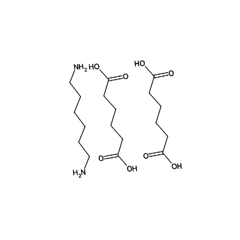 NCCCCCCN.O=C(O)CCCCC(=O)O.O=C(O)CCCCC(=O)O